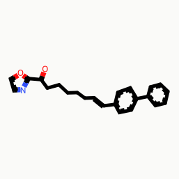 O=C(CCCCC/C=C/c1ccc(-c2ccccc2)cc1)c1ncco1